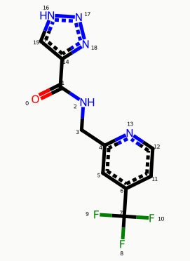 O=C(NCc1cc(C(F)(F)F)ccn1)c1c[nH]nn1